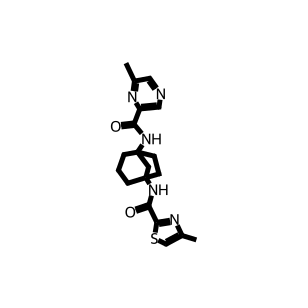 Cc1cncc(C(=O)NC23CCCC(NC(=O)c4nc(C)cs4)(CC2)C3)n1